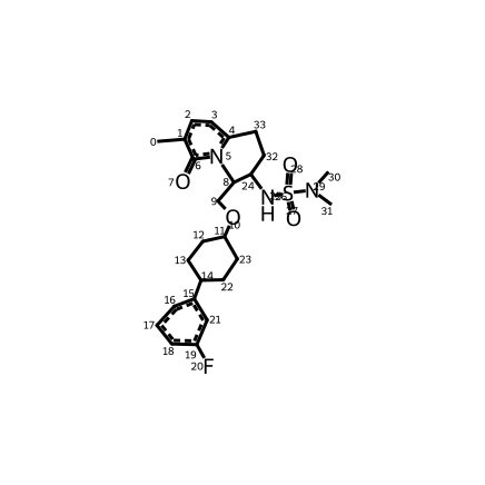 Cc1ccc2n(c1=O)C(COC1CCC(c3cccc(F)c3)CC1)C(NS(=O)(=O)N(C)C)CC2